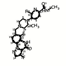 CNC(=O)c1ccc(N2CCN(Cc3ccc4c([nH]c(=O)c5c(F)cnn54)c3F)C[C@H]2C)c(F)n1